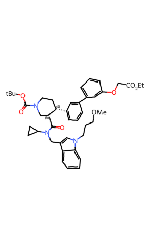 CCOC(=O)COc1cccc(-c2cccc([C@H]3CCN(C(=O)OC(C)(C)C)C[C@@H]3C(=O)N(Cc3cn(CCCOC)c4ccccc34)C3CC3)c2)c1